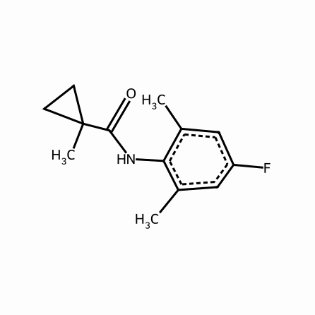 Cc1cc(F)cc(C)c1NC(=O)C1(C)CC1